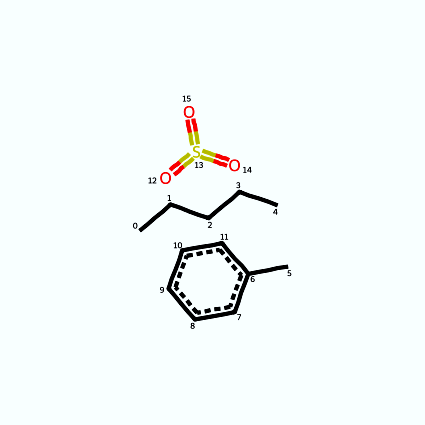 CCCCC.Cc1ccccc1.O=S(=O)=O